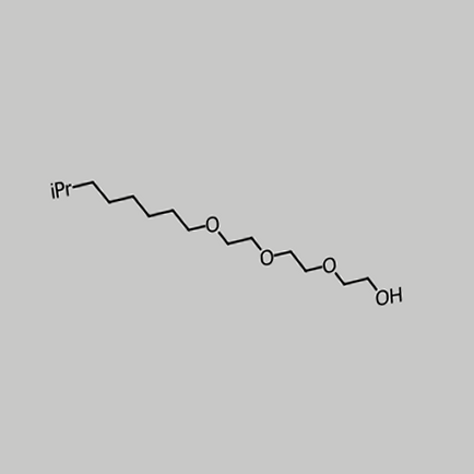 CC(C)CCCCCCOCCOCCOCCO